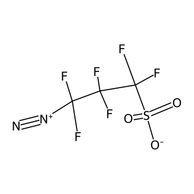 N#[N+]C(F)(F)C(F)(F)C(F)(F)S(=O)(=O)[O-]